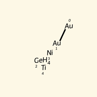 [Au][Au].[GeH4].[Ni].[Ti]